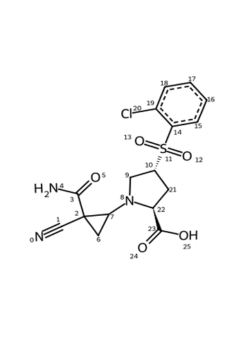 N#CC1(C(N)=O)CC1N1C[C@H](S(=O)(=O)c2ccccc2Cl)C[C@H]1C(=O)O